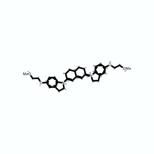 COCCOc1ccc2c(c1)CCN2C1=CC2=C/C(=[N+]3\CCc4cc(OCCOC)ccc43)CCC2CC1